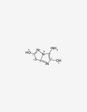 Nc1c(O)nc2sc(O)nn12